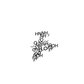 CC[C@H](C)[C@H](NC(=O)[C@@H](CCCNC(=N)N)NC(=O)[C@@H](N)CC(C)C)C(=O)N[C@H](C(=O)OCc1ccccc1)[C@H](C)O.O=C(O)C(F)(F)F.O=C(O)C(F)(F)F